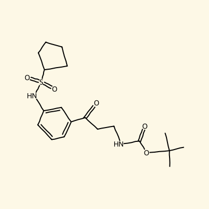 CC(C)(C)OC(=O)NCCC(=O)c1cccc(NS(=O)(=O)C2CCCC2)c1